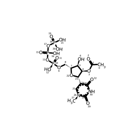 CC(=O)O[C@@H]1[C@H](O)[C@@H](COP(=O)(O)OP(=O)(O)OP(=O)(O)O)O[C@H]1c1cn(C)c(=O)[nH]c1=O